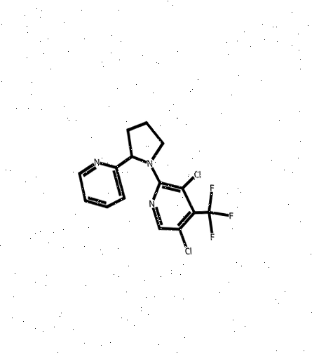 FC(F)(F)c1c(Cl)cnc(N2CCCC2c2ccccn2)c1Cl